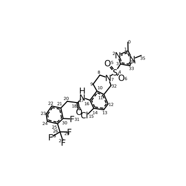 Cc1nc(S(=O)(=O)N2CCc3c(ccc(Cl)c3NC(=O)Cc3cccc(C(F)(F)F)c3F)C2)cn1C